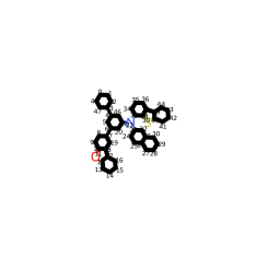 c1ccc(-c2cc(-c3ccc4oc5ccccc5c4c3)cc(N(c3ccc4ccccc4c3)c3cccc4c3sc3ccccc34)c2)cc1